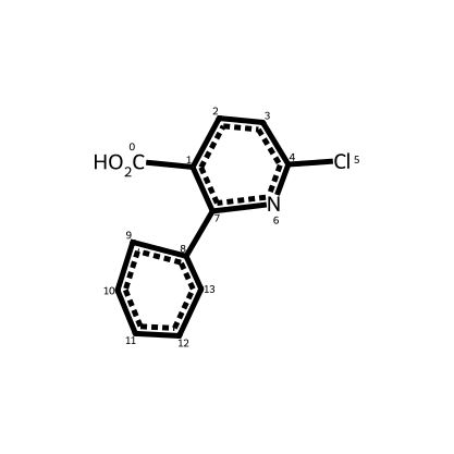 O=C(O)c1ccc(Cl)nc1-c1ccccc1